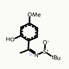 COc1ccc(/C(C)=N\[S+]([O-])C(C)(C)C)c(O)c1